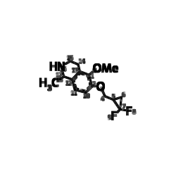 COc1c(OCC2CC2(F)F)ccc2c1CCNC2C